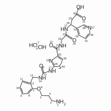 Cl.Cl.NCCCOc1ccccc1CNC(=O)Nc1nc(C(=O)NCC(=O)NC(CC(=O)O)c2cccnc2)cs1